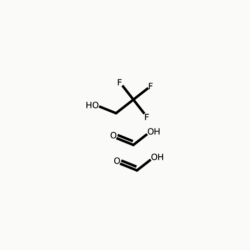 O=CO.O=CO.OCC(F)(F)F